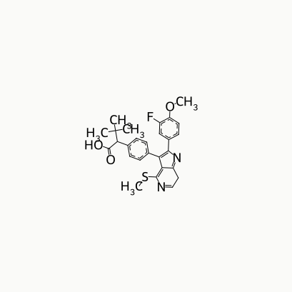 COc1ccc(C2=C(c3ccc(C(C(=O)O)C(C)(C)C)cc3)C3=C(SC)N=CCC3=N2)cc1F